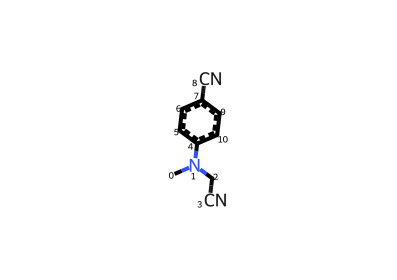 CN(CC#N)c1ccc(C#N)cc1